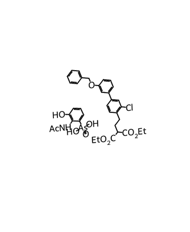 CC(=O)Nc1c(O)cccc1[As](=O)(O)O.CCOC(=O)C(CCc1ccc(-c2cccc(OCc3ccccc3)c2)cc1Cl)C(=O)OCC